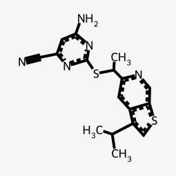 CC(C)c1csc2cnc(C(C)Sc3nc(N)cc(C#N)n3)cc12